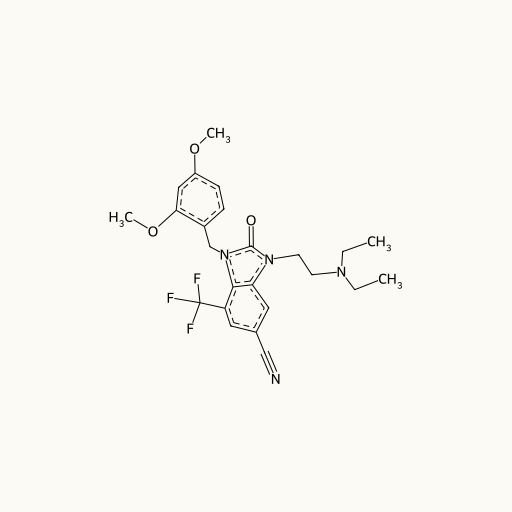 CCN(CC)CCn1c(=O)n(Cc2ccc(OC)cc2OC)c2c(C(F)(F)F)cc(C#N)cc21